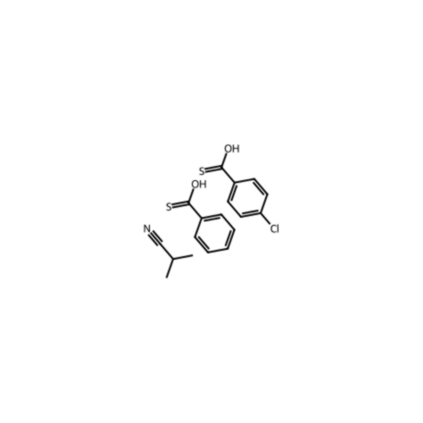 CC(C)C#N.OC(=S)c1ccc(Cl)cc1.OC(=S)c1ccccc1